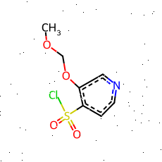 COCOc1cnccc1S(=O)(=O)Cl